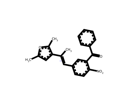 C/C(=C\c1ccc([N+](=O)[O-])c(C(=O)c2ccccc2)c1)c1cc(C)oc1C